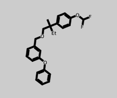 CCC(C)(COCc1cccc(Oc2ccccc2)c1)c1ccc(OC(F)F)cc1